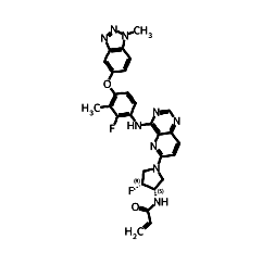 C=CC(=O)N[C@H]1CN(c2ccc3ncnc(Nc4ccc(Oc5ccc6c(c5)nnn6C)c(C)c4F)c3n2)C[C@H]1F